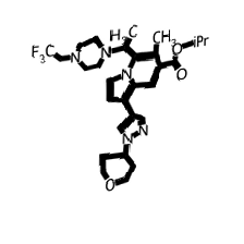 Cc1c(C(=O)OC(C)C)cc2c(-c3cnn(C4CCOCC4)c3)ccn2c1C(C)N1CCN(CC(F)(F)F)CC1